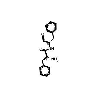 N[C@H](Cc1ccccc1)C(=O)N[C@H]([C]=O)Cc1ccccc1